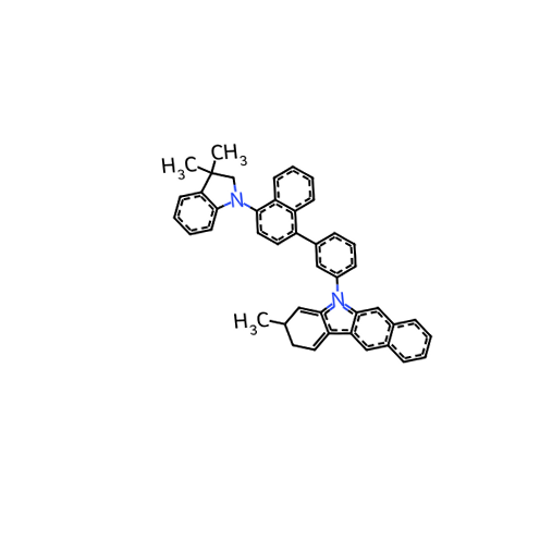 CC1C=c2c(c3cc4ccccc4cc3n2-c2cccc(-c3ccc(N4CC(C)(C)c5ccccc54)c4ccccc34)c2)=CC1